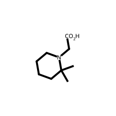 CC1(C)CCCCN1CC(=O)O